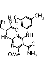 COc1nc(N[C@H](CC(C)C)C(N)=O)nc(Nc2cc(C)cc(C)c2)c1C(N)=O